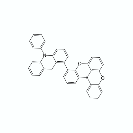 c1ccc(N2c3ccccc3Cc3c(-c4cccc5c4Oc4cccc6c4B5c4ccccc4O6)cccc32)cc1